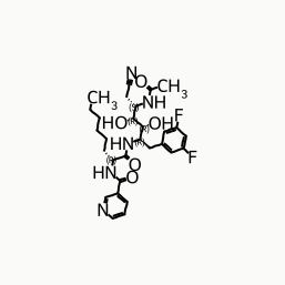 CCCCCC[C@@H](NC(=O)c1cccnc1)C(=O)N[C@H](Cc1cc(F)cc(F)c1)[C@@H](O)[C@H](O)[C@H](CC#N)NC(C)=O